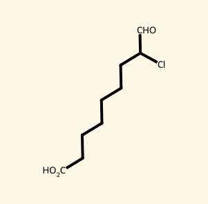 O=CC(Cl)CCCCCCC(=O)O